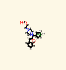 Cl.OCCN1CCN(C(c2ccccc2)c2cc3ccccc3o2)CC1